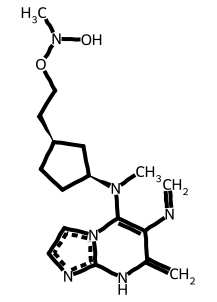 C=NC1=C(N(C)[C@H]2CC[C@@H](CCON(C)O)C2)n2ccnc2NC1=C